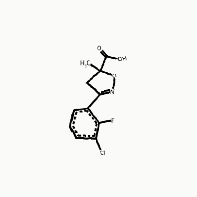 CC1(C(=O)O)CC(c2cccc(Cl)c2F)=NO1